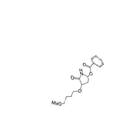 COCCCCOC1CC(OC(=O)c2ccccc2)NC1=O